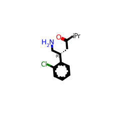 CC(C)C(=O)C[C@@H](CN)c1ccccc1Cl